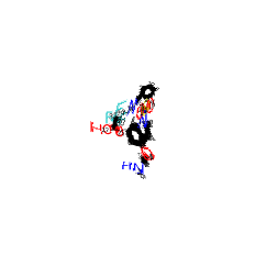 CNCCOc1cccc2c1ccn2S(=O)(=O)c1ccccc1C#N.O=C(O)C(F)(F)F